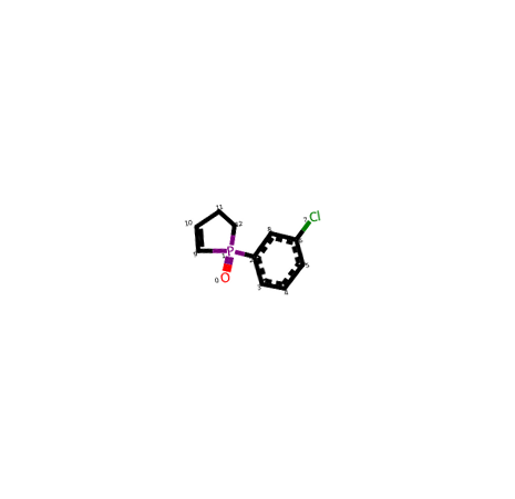 O=P1(c2cccc(Cl)c2)C=CCC1